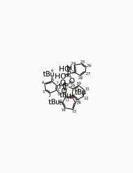 CC(C)(C)c1cccc(C(C)(C)C)c1O[PH](Oc1c(C(C)(C)C)cccc1C(C)(C)C)(O[PH](O)(O)c1ccccc1)c1ccccc1